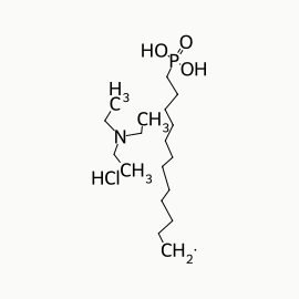 CCN(CC)CC.Cl.[CH2]CCCCCCCCCCCP(=O)(O)O